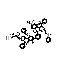 Cc1c(F)cccc1C1[C@@H](C(=O)c2ccccc2)CN(CC(=O)N(C)C)C[C@@H]1C(=O)c1ccccc1.Cc1cccc(C2[C@@H](C(=O)c3ccccc3)CN(CCNc3ccccc3)C[C@@H]2C(=O)c2ccccc2)c1C